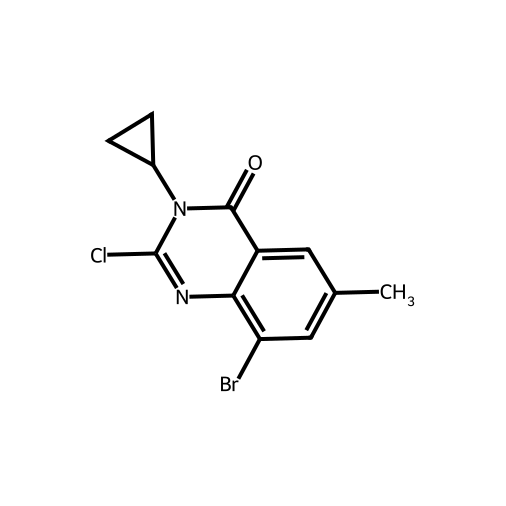 Cc1cc(Br)c2nc(Cl)n(C3CC3)c(=O)c2c1